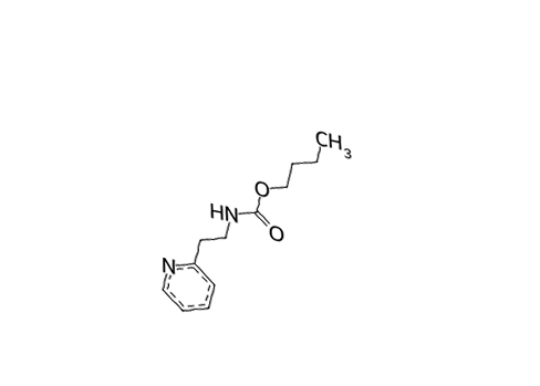 CCCCOC(=O)NCCc1ccccn1